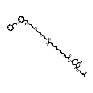 CC(C)=CCOC(C)(C)C1CC(OC(=O)/C=C/C=C/C=C/C=C/C(=O)NCCOCCOCCNCc2cccc(OCc3ccccc3)c2)CC[C@]12CO2